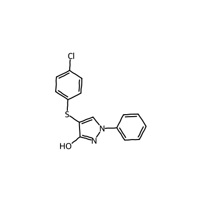 Oc1nn(-c2ccccc2)cc1Sc1ccc(Cl)cc1